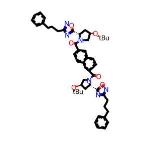 CC(C)(C)O[C@@H]1C[C@@H](c2nc(CCCc3ccccc3)no2)N(C(=O)c2ccc3cc(C(=O)N4C[C@H](OC(C)(C)C)C[C@H]4c4nc(CCCc5ccccc5)no4)ccc3c2)C1